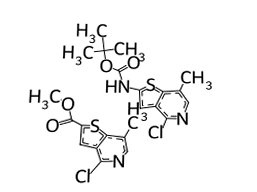 COC(=O)c1cc2c(Cl)ncc(C)c2s1.Cc1cnc(Cl)c2cc(NC(=O)OC(C)(C)C)sc12